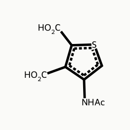 CC(=O)Nc1csc(C(=O)O)c1C(=O)O